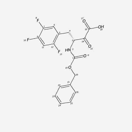 O=C(N[C@H](Cc1cc(F)c(F)cc1F)C(=O)C(=O)O)OCc1ccccc1